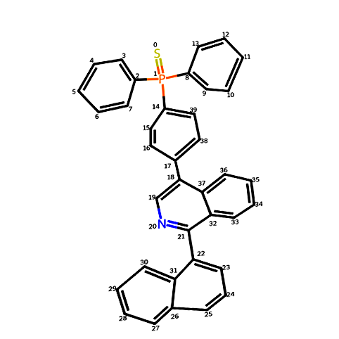 S=P(c1ccccc1)(c1ccccc1)c1ccc(-c2cnc(-c3cccc4ccccc34)c3ccccc23)cc1